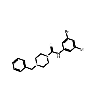 O=C(Nc1cc(Br)cc(Br)c1)N1CCN(Cc2ccccc2)CC1